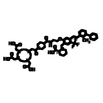 Cc1c(/C=C/c2cc(OCCNC(=O)C3CCN(C(=O)CN4CCN(CC(=O)O)CCN(CC(=O)O)CN(CC(=O)O)CC4)CC3)c(CN3CCCC[C@H]3C(=O)O)cc2C(F)(F)F)cccc1-c1ccccc1